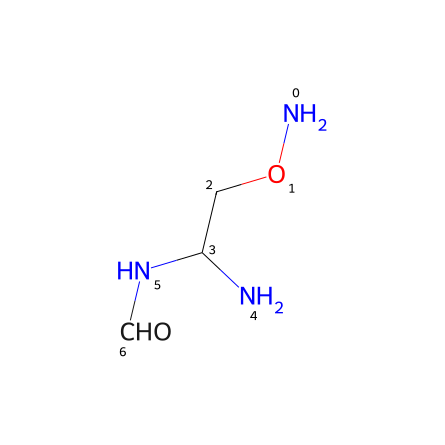 NOCC(N)NC=O